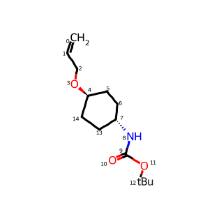 C=CCO[C@H]1CC[C@H](NC(=O)OC(C)(C)C)CC1